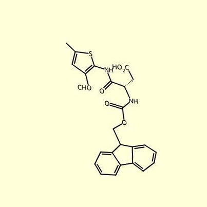 Cc1cc(C=O)c(NC(=O)[C@H](CC(=O)O)NC(=O)OCC2c3ccccc3-c3ccccc32)s1